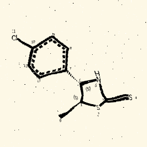 C[C@@H]1SC(=S)N[C@H]1c1ccc(Cl)cc1